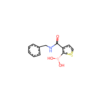 O=C(NCc1ccccc1)c1ccsc1B(O)O